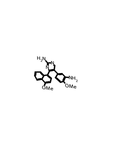 COc1ccc(-c2cnc(N)nc2-c2ccc(OC)c3ccccc23)cc1N